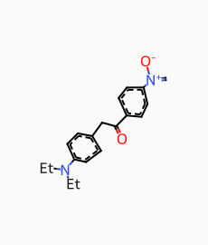 C=[N+]([O-])c1ccc(C(=O)Cc2ccc(N(CC)CC)cc2)cc1